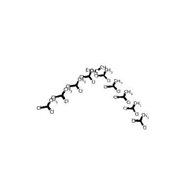 CC(Cl)Cl.CC(Cl)Cl.CC(Cl)Cl.CC(Cl)Cl.CC(Cl)Cl.CC(Cl)Cl.CC(Cl)Cl.CC(Cl)Cl.CC(Cl)Cl.CCOC(C)=O